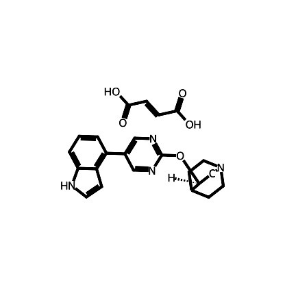 O=C(O)/C=C/C(=O)O.c1cc(-c2cnc(O[C@H]3CN4CCC3CC4)nc2)c2cc[nH]c2c1